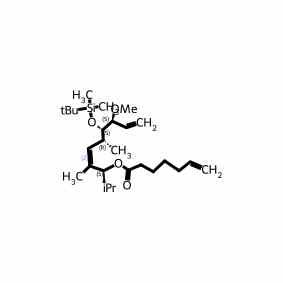 C=CCCCCC(=O)O[C@H](/C(C)=C\[C@@H](C)[C@H](O[Si](C)(C)C(C)(C)C)[C@H](C=C)OC)C(C)C